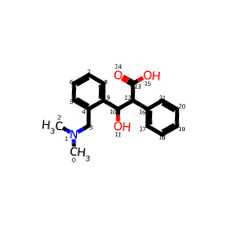 CN(C)Cc1ccccc1C(O)C(C(=O)O)c1ccccc1